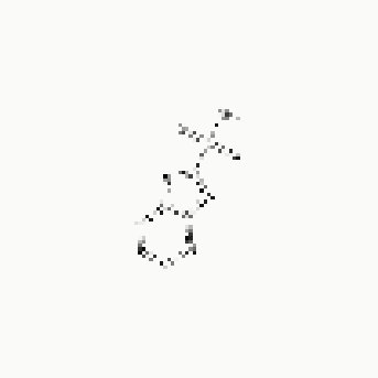 NS(=O)(=O)c1cc2cccnc2s1